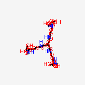 CC(=O)NC1C(O)CC(CO)OC1OCCOCCOCCNC(=O)CCOCC(C)(COCCC(=O)NCCOCCOCCOC1OC(CO)CC(O)C1NC(C)=O)COCCC(=O)NCCOCCOCCOC1OC(CO)C(O)C(O)C1NC(C)=O